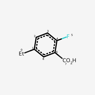 CCc1ccc(F)c(C(=O)O)c1